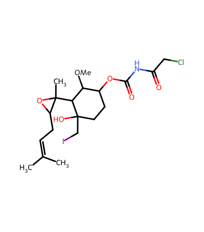 COC1C(OC(=O)NC(=O)CCl)CCC(O)(CI)C1C1(C)OC1CC=C(C)C